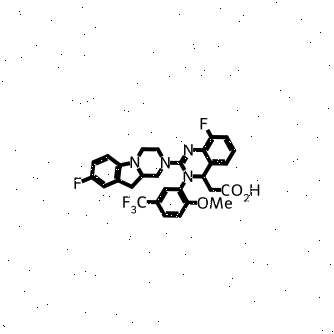 COc1ccc(C(F)(F)F)cc1N1C(N2CCN3c4ccc(F)cc4CC3C2)=Nc2c(F)cccc2C1CC(=O)O